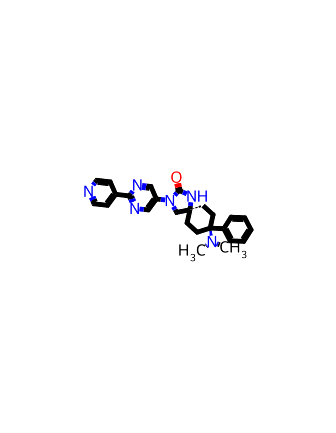 CN(C)[C@]1(c2ccccc2)CC[C@]2(CC1)CN(c1cnc(-c3ccncc3)nc1)C(=O)N2